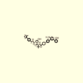 Cc1ncsc1-c1ccc([C@H](C)NC(=O)[C@@H]2C[C@@H](O)CN2C(=O)[C@@H](NC(=O)C2CCN(c3ccc(-c4cc(-c5ccccc5O)nnc4N)cc3)CC2)C(C)(C)C)cc1